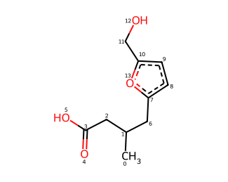 CC(CC(=O)O)Cc1ccc(CO)o1